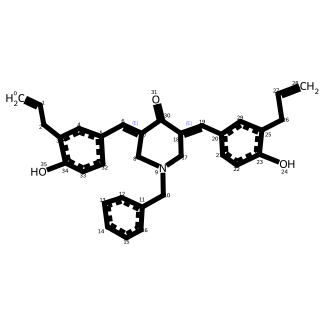 C=CCc1cc(/C=C2\CN(Cc3ccccc3)C/C(=C\c3ccc(O)c(CC=C)c3)C2=O)ccc1O